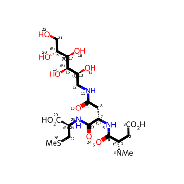 CN[C@@H](CC(=O)O)C(=O)N[C@@H](CC(=O)NC[C@H](O)[C@@H](O)[C@H](O)[C@H](O)CO)C(=O)N[C@@H](CSC)C(=O)O